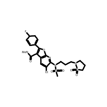 CCc1cc2c(C(=O)NC)c(C3=CCC(F)C=C3)oc2nc1N(CCCN1CCCS1(=O)=O)S(C)(=O)=O